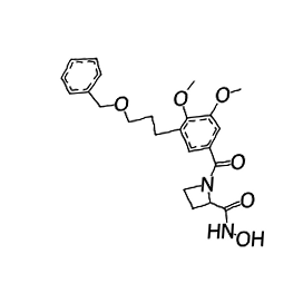 COc1cc(C(=O)N2CCC2C(=O)NO)cc(CCCOCc2ccccc2)c1OC